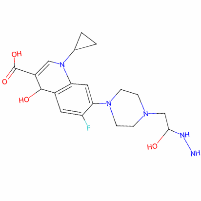 NNC(O)CN1CCN(c2cc3c(cc2F)C(O)C(C(=O)O)=CN3C2CC2)CC1